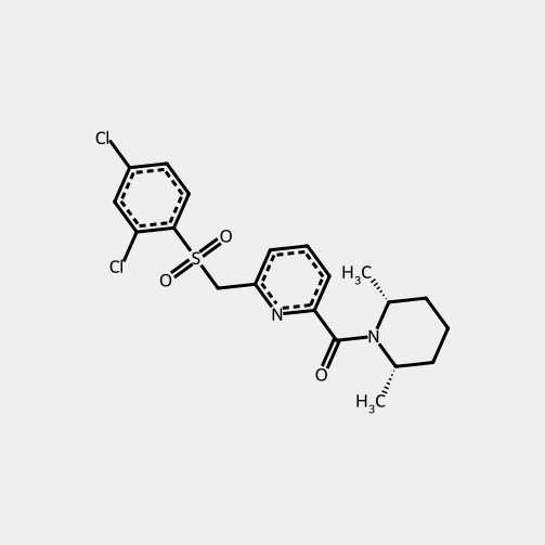 C[C@@H]1CCC[C@H](C)N1C(=O)c1cccc(CS(=O)(=O)c2ccc(Cl)cc2Cl)n1